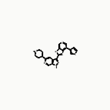 c1cc(-c2cncc3[nH]c(-c4n[nH]c5cnc(C6CCNCC6)cc45)nc23)cs1